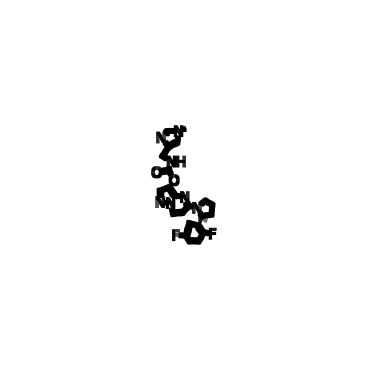 Cn1cnc(CNC(=O)Oc2cnn3ccc(N4CCC[C@@H]4c4cc(F)ccc4F)nc23)c1